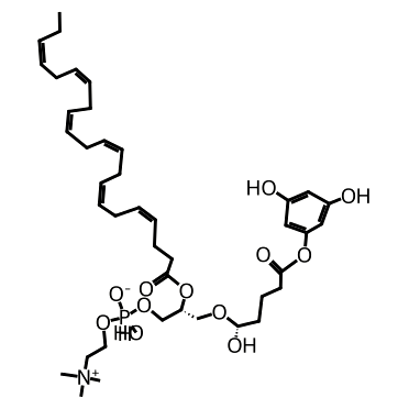 CC/C=C\C/C=C\C/C=C\C/C=C\C/C=C\C/C=C\CCC(=O)O[C@H](CO[C@@H](O)CCCC(=O)Oc1cc(O)cc(O)c1)CO[PH]([O-])(O)OCC[N+](C)(C)C